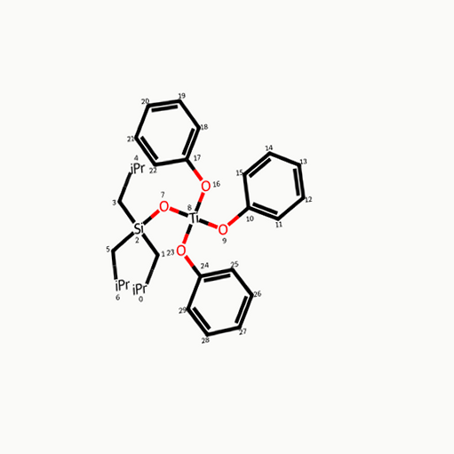 CC(C)C[Si](CC(C)C)(CC(C)C)[O][Ti]([O]c1ccccc1)([O]c1ccccc1)[O]c1ccccc1